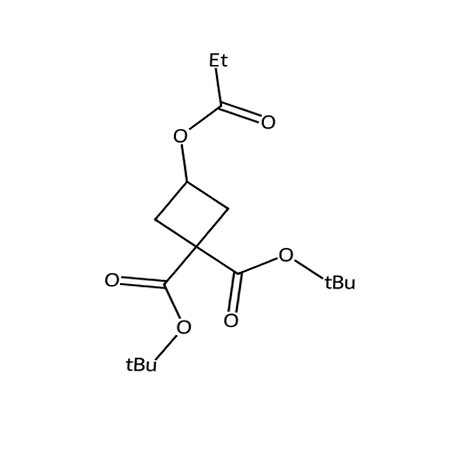 CCC(=O)OC1CC(C(=O)OC(C)(C)C)(C(=O)OC(C)(C)C)C1